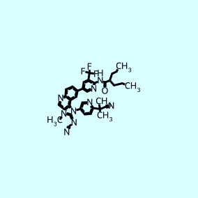 CCCC(CCC)C(=O)Nc1ncc(-c2ccc3ncc4c(c3c2)n(-c2ccc(C(C)(C)C#N)nc2)c(=NC#N)n4C)cc1C(F)(F)F